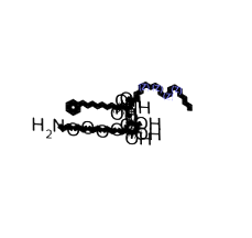 CCCCC/C=C\C/C=C\C/C=C\C/C=C\CCCC(=O)N[C@@H](CO[C@H]1OC(COCCOCCOCCOCCN)[C@H](O)[C@H](O)C1O)[C@H](O)[C@@H](O)CCCCCCCc1ccccc1